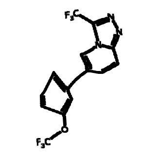 FC(F)(F)Oc1cccc(-c2ccc3nnc(C(F)(F)F)n3c2)c1